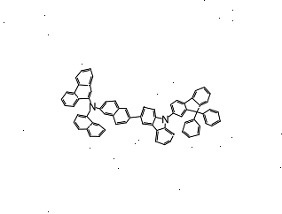 c1ccc(C2(c3ccccc3)c3ccccc3-c3ccc(-n4c5ccccc5c5cc(-c6ccc7cc(N(c8cccc9ccccc89)c8cc9ccccc9c9ccccc89)ccc7c6)ccc54)cc32)cc1